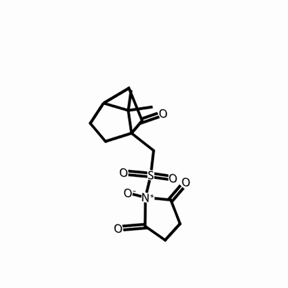 CC1(C)C2CCC1(CS(=O)(=O)[N+]1([O-])C(=O)CCC1=O)C(=O)C2